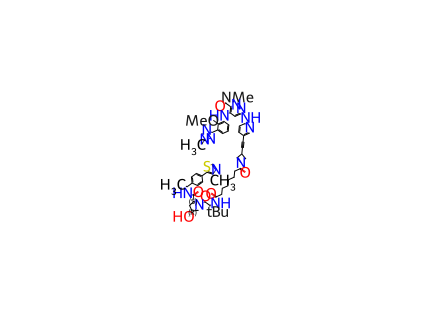 CNC(=O)c1nnc(Nc2ccc(C#CC3CN(C(=O)CCCCCCC(=O)NC(C(=O)N4C[C@H](O)C[C@H]4C(=O)NC(C)c4ccc(-c5scnc5C)cc4)C(C)(C)C)C3)cn2)cc1Nc1cccc(-c2ncn(C)n2)c1OC